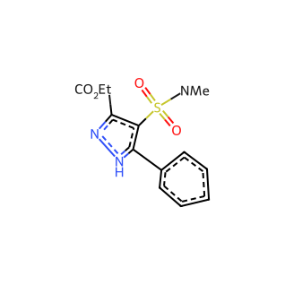 CCOC(=O)c1n[nH]c(-c2ccccc2)c1S(=O)(=O)NC